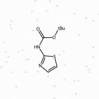 CC(C)(C)OC(=O)Nc1nccs1